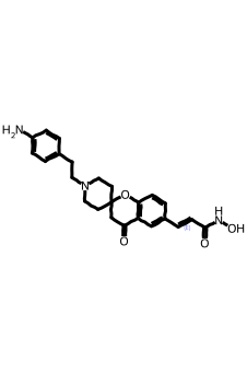 Nc1ccc(CCN2CCC3(CC2)CC(=O)c2cc(/C=C/C(=O)NO)ccc2O3)cc1